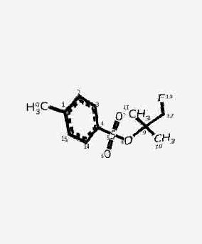 Cc1ccc(S(=O)(=O)OC(C)(C)CF)cc1